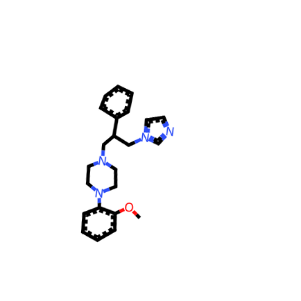 COc1ccccc1N1CCN(CC(Cn2ccnc2)c2ccccc2)CC1